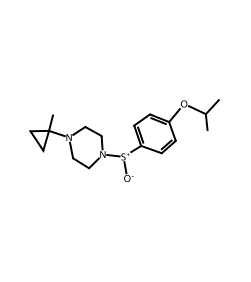 CC(C)Oc1ccc([S+]([O-])N2CCN(C3(C)CC3)CC2)cc1